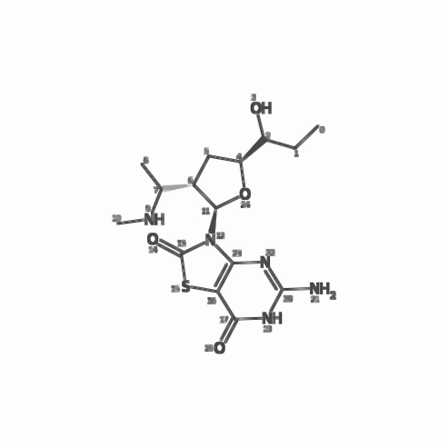 CCC(O)[C@@H]1C[C@@H](C(C)NC)[C@H](n2c(=O)sc3c(=O)[nH]c(N)nc32)O1